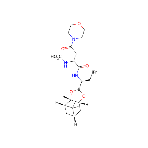 CC(C)C[C@H](NC(=O)[C@@H](CC(=O)N1CCOCC1)NC(=O)O)B1O[C@@H]2C[C@@H]3C[C@@H](C3(C)C)[C@]2(C)O1